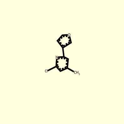 Cc1cc(Cl)nc(-c2ccoc2)c1